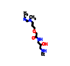 CCNCC(O)CNC(=O)COC/C=C/N(C)/C=N\C